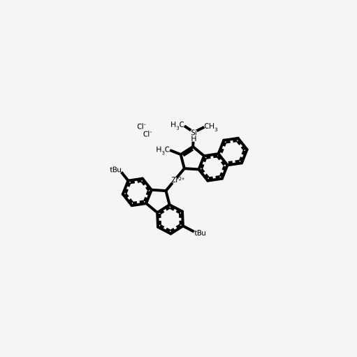 CC1=C([SiH](C)C)c2c(ccc3ccccc23)[CH]1[Zr+2][CH]1c2cc(C(C)(C)C)ccc2-c2ccc(C(C)(C)C)cc21.[Cl-].[Cl-]